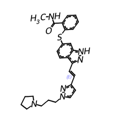 CNC(=O)c1ccccc1Sc1ccc2c(/C=C/c3ccn(CCCN4CCCC4)n3)n[nH]c2c1